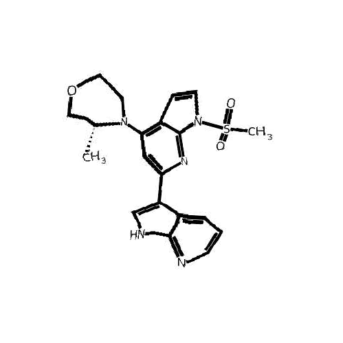 C[C@@H]1COCCN1c1cc(-c2c[nH]c3ncccc23)nc2c1ccn2S(C)(=O)=O